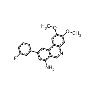 COc1cc2ncc3c(N)nc(-c4cccc(F)c4)cc3c2cc1OC